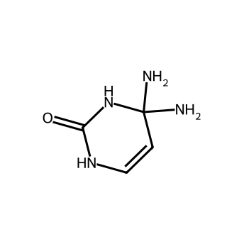 NC1(N)C=CNC(=O)N1